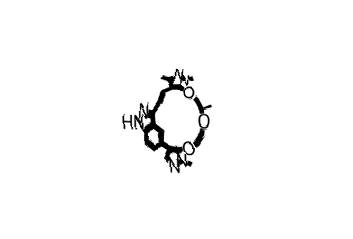 Cc1nn(C)c2c1/C=C/c1n[nH]c3ccc(cc13)-c1cnn(C)c1OCCO[C@H](C)CO2